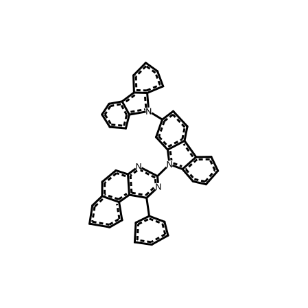 c1ccc(-c2nc(-n3c4ccccc4c4ccc(-n5c6ccccc6c6ccccc65)cc43)nc3ccc4ccccc4c23)cc1